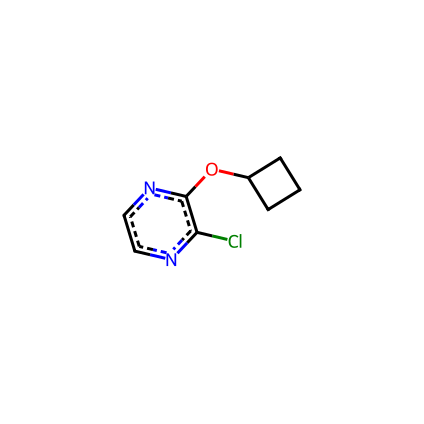 Clc1nccnc1OC1CCC1